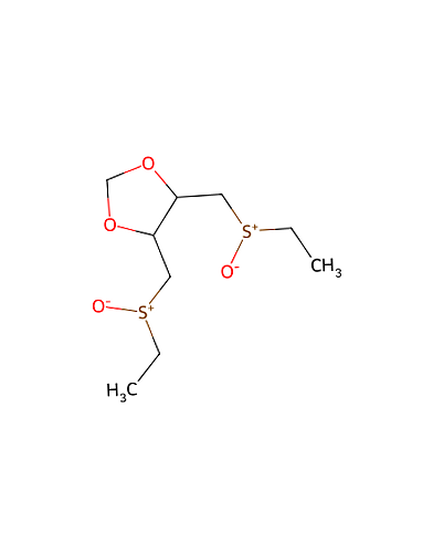 CC[S+]([O-])CC1OCOC1C[S+]([O-])CC